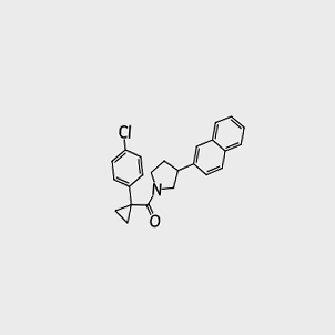 O=C(N1CCC(c2ccc3ccccc3c2)C1)C1(c2ccc(Cl)cc2)CC1